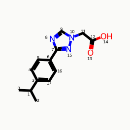 CC(C)c1ccc(-c2ncn(CC(=O)O)n2)cc1